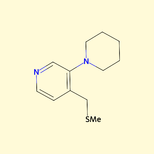 CSCc1ccncc1N1CCCCC1